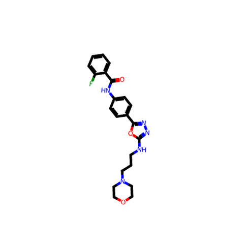 O=C(Nc1ccc(-c2nnc(NCCCN3CCOCC3)o2)cc1)c1ccccc1F